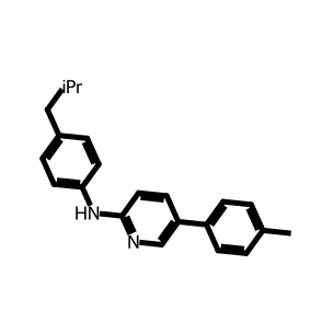 Cc1ccc(-c2ccc(Nc3ccc(CC(C)C)cc3)nc2)cc1